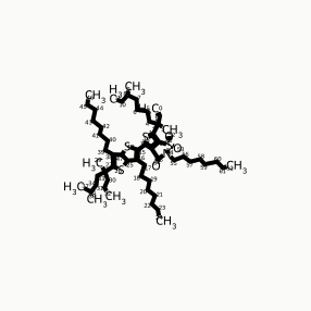 C=CC(C)(CCCCC(C)CC)c1sc(C2=C(CCCCCCCC)C3SC(C(C)(CCC)CCC(C)C)=C(CCCCCCCC)C3S2)c2c1S(=O)(=O)N(CCCCCCCC)C2=O